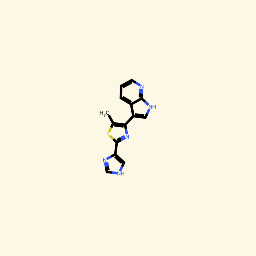 Cc1sc(-c2c[nH]cn2)nc1-c1c[nH]c2ncccc12